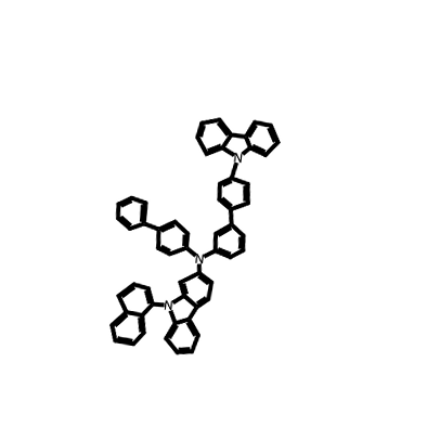 c1ccc(-c2ccc(N(c3cccc(-c4ccc(-n5c6ccccc6c6ccccc65)cc4)c3)c3ccc4c5ccccc5n(-c5cccc6ccccc56)c4c3)cc2)cc1